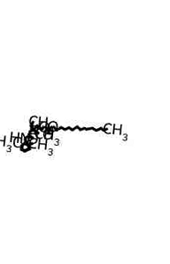 CCCCCCCCCCCCCCOC(=O)OCC[N+](CC)(CC)CC(=O)Nc1c(C)cccc1C